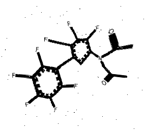 CC(=O)N(C(C)=O)c1cc(-c2c(F)c(F)c(F)c(F)c2F)c(F)c(F)c1F